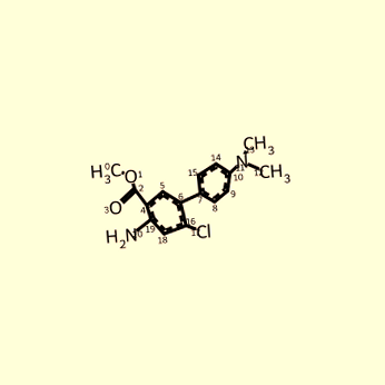 COC(=O)c1cc(-c2ccc(N(C)C)cc2)c(Cl)cc1N